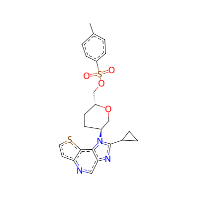 Cc1ccc(S(=O)(=O)OC[C@H]2CC[C@H](n3c(C4CC4)nc4cnc5ccsc5c43)CO2)cc1